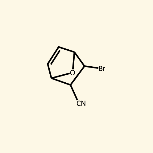 N#CC1C2C=CC(O2)C1Br